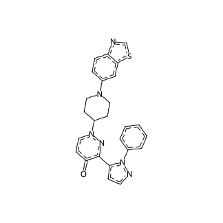 O=c1ccn(C2CCN(c3ccc4ncsc4c3)CC2)nc1-c1ccnn1-c1ccccc1